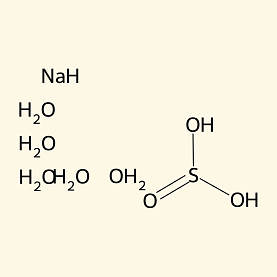 O.O.O.O.O.O=S(O)O.[NaH]